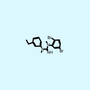 CCc1cccc(N(C)C(=N)N(C)c2cc(Br)ccc2Br)c1